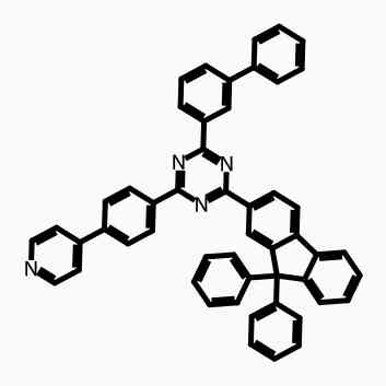 c1ccc(-c2cccc(-c3nc(-c4ccc(-c5ccncc5)cc4)nc(-c4ccc5c(c4)C(c4ccccc4)(c4ccccc4)c4ccccc4-5)n3)c2)cc1